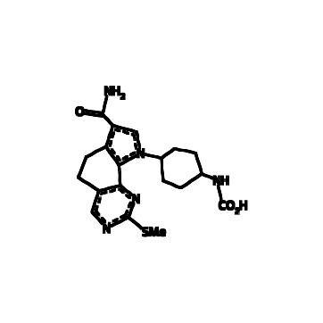 CSc1ncc2c(n1)-c1c(c(C(N)=O)cn1C1CCC(NC(=O)O)CC1)CC2